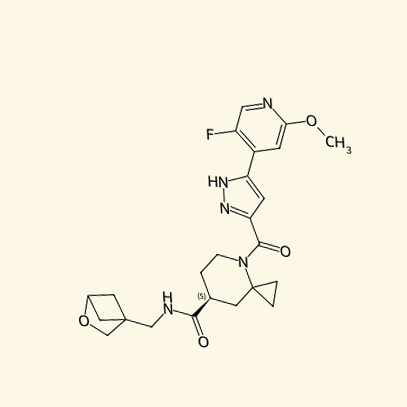 COc1cc(-c2cc(C(=O)N3CC[C@H](C(=O)NCC45COC(C4)C5)CC34CC4)n[nH]2)c(F)cn1